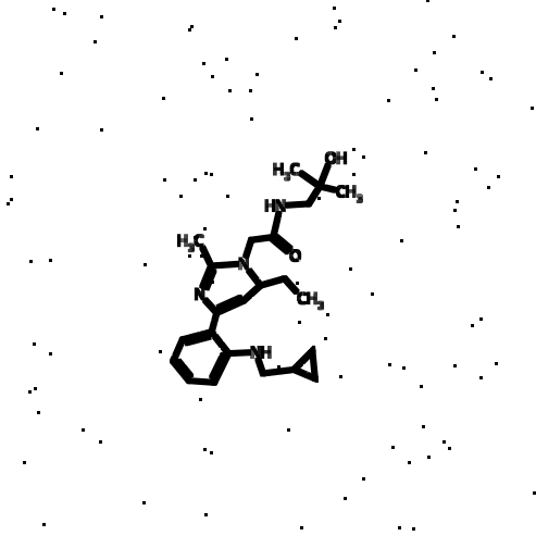 CCC1C=C(c2ccccc2NCC2CC2)N=C(C)N1CC(=O)NCC(C)(C)O